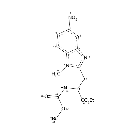 CCOC(=O)C(Cc1nc2cc([N+](=O)[O-])ccc2n1C)NC(=O)OC(C)(C)C